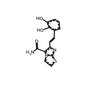 NC(=O)c1c(/C=C/c2cccc(O)c2O)nc2sccn12